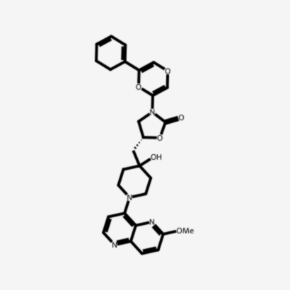 COc1ccc2nccc(N3CCC(O)(C[C@@H]4CN(C5=COC=C(C6=CC=CCC6)O5)C(=O)O4)CC3)c2n1